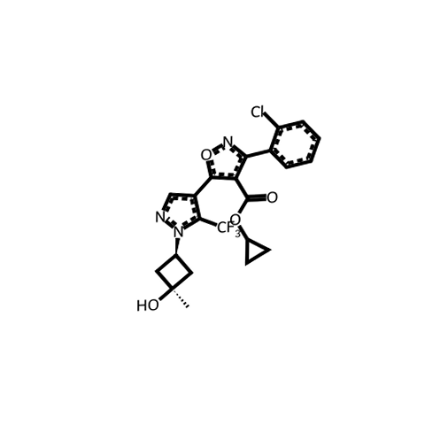 C[C@]1(O)C[C@@H](n2ncc(-c3onc(-c4ccccc4Cl)c3C(=O)OC3CC3)c2C(F)(F)F)C1